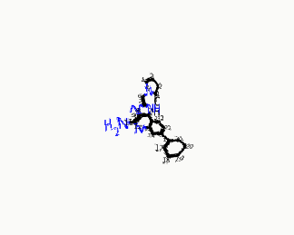 C=C1CCCN1Cc1nc2c(N)nc3cc(C4CCCCC4)ccc3c2[nH]1